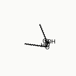 CCCCCC=CCC=CCC=CCC=CCCCC(=O)POC(CO)COC(=O)CCCCCCCCCCCCCCC